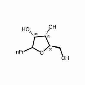 CCCC1O[C@H](CO)[C@@H](O)[C@H]1O